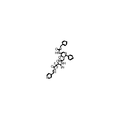 CC(C)C(NC(=O)Cn1c(-c2ccccc2)ncc(NC(=O)OCc2ccccc2)c1=O)C(O)C(F)(F)C(=O)NCCc1ccncc1